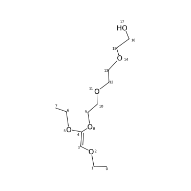 CCOC=C(OCC)OCCOCCOCCO